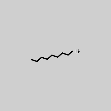 CCCCCCCCC.[Li]